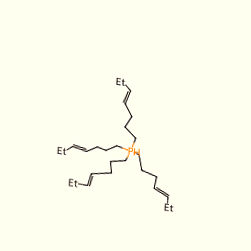 CCC=CCCC[PH](CCCC=CCC)(CCCC=CCC)CCCC=CCC